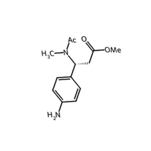 COC(=O)C[C@H](c1ccc(N)cc1)N(C)C(C)=O